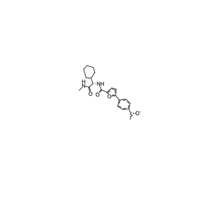 CNC(=O)[C@@H](NC(=O)c1ccc(-c2ccc([S+](C)[O-])cc2)o1)C1CCCCC1